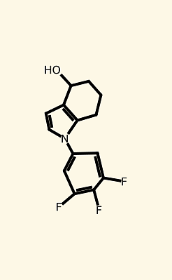 OC1CCCc2c1ccn2-c1cc(F)c(F)c(F)c1